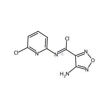 Nc1nonc1/C(Cl)=N/c1cccc(Cl)n1